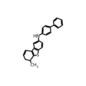 CC1CC=Cc2c1sc1ccc(Nc3ccc(-c4ccccc4)cc3)cc21